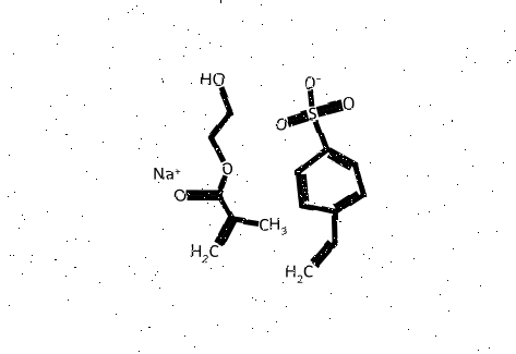 C=C(C)C(=O)OCCO.C=Cc1ccc(S(=O)(=O)[O-])cc1.[Na+]